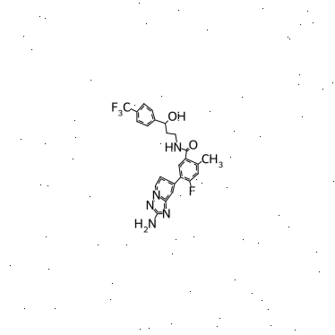 Cc1cc(F)c(-c2ccn3nc(N)nc3c2)cc1C(=O)NCCC(O)c1ccc(C(F)(F)F)cc1